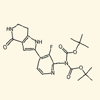 CC(C)(C)OC(=O)N(C(=O)OC(C)(C)C)c1nccc(-c2cc3c([nH]2)CCNC3=O)c1F